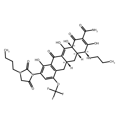 CCCCN1CC(=O)N(c2cc(OC(F)(F)F)c3c(c2O)C(=O)C2=C(O)[C@]4(O)C(=O)C(C(N)=O)=C(O)[C@@H](NCCC)[C@@H]4C[C@@H]2C3)C1=O